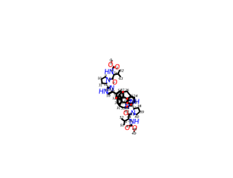 COC(=O)N[C@H](C(=O)N1CCC[C@H]1c1nc(-c2ccc(-c3cc4ccc3CCc3ccc(c(-c5c[nH]c([C@@H]6CCCN6C(=O)[C@@H](NC(=O)OC)C(C)C)n5)c3)CC4)cc2)c[nH]1)C(C)C